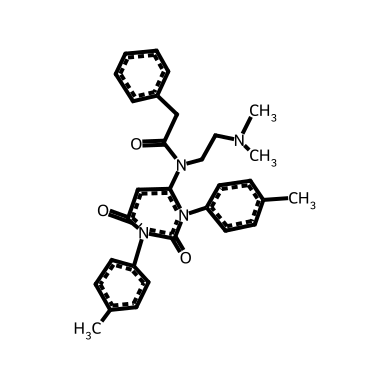 Cc1ccc(-n2c(N(CCN(C)C)C(=O)Cc3ccccc3)cc(=O)n(-c3ccc(C)cc3)c2=O)cc1